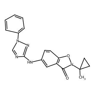 CC1(n2oc3ccc(Nc4ncn(-c5ccccc5)n4)cc3c2=O)CC1